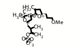 C=C(OS(=O)(=O)C(F)(F)F)C(C)C[C@@H](CC[C@@H]1O[C@@H](CCCOC)CC1=C)O[Si](C)(C)C(C)(C)C